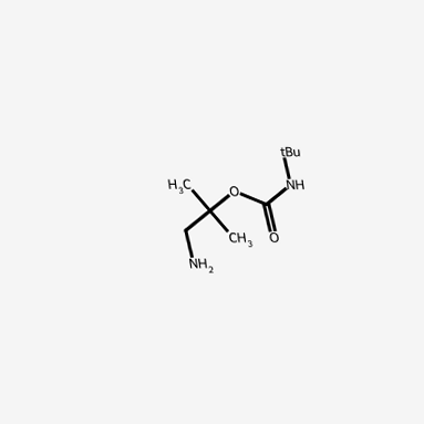 CC(C)(C)NC(=O)OC(C)(C)CN